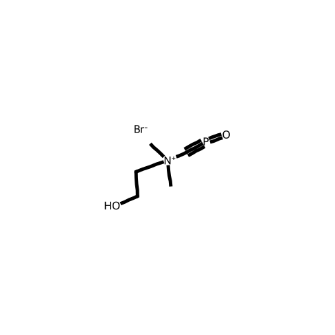 C[N+](C)(C#P=O)CCO.[Br-]